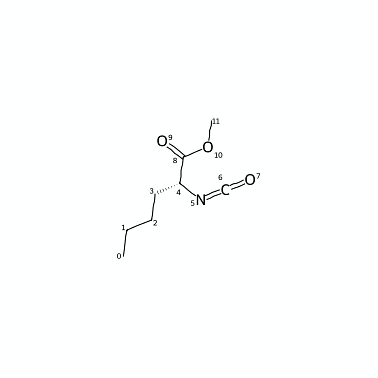 CCCC[C@@H](N=C=O)C(=O)OC